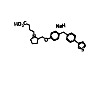 O=C(O)CCCN1CCCC1COc1ccc(Cc2ccc(-c3ccsc3)cc2)cc1.[NaH]